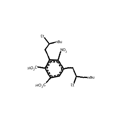 CCCCC(CC)Cc1cc(C(=O)O)c(C(=O)O)c(CC(CC)CCCC)c1[N+](=O)[O-]